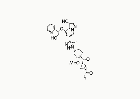 C=CC(=O)N1CC(OC)(C(=O)N2CCC(n3nnc(-c4cc(O[C@@H](CO)c5ccccn5)c5c(C#N)cnn5c4)c3C)CC2)C1